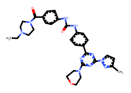 CCN1CCN(C(=O)c2ccc(NC(=O)Nc3ccc(-c4nc(N5CCOCC5)nc(-n5ccc(C)n5)n4)cc3)cc2)CC1